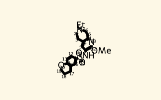 CCN1CCc2cc(NS(=O)(=O)c3ccc4c(c3)CCCO4)c(OC)nc2CC1